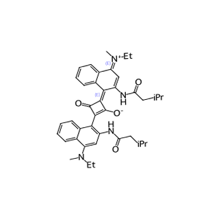 CCN(C)c1cc(NC(=O)CC(C)C)c(C2=C([O-])/C(=C3C(NC(=O)CC(C)C)=C/C(=[N+](/C)CC)c4ccccc4\3)C2=O)c2ccccc12